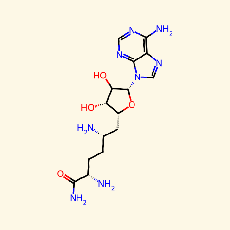 NC(=O)[C@@H](N)CC[C@H](N)C[C@H]1O[C@@H](n2cnc3c(N)ncnc32)C(O)[C@H]1O